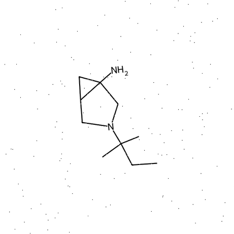 CCC(C)(C)N1CC2CC2(N)C1